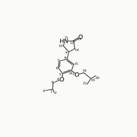 CC(C)COc1ccc(C2CNC(=O)C2)cc1OCC(C)C